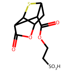 O=C(OCCS(=O)(=O)O)C1C2CC3OC(=O)C1C3S2